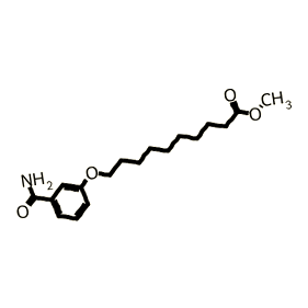 COC(=O)CCCCCCCCCOc1cccc(C(N)=O)c1